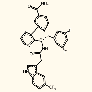 NC(=O)c1cccc(-c2cccnc2[C@H](Cc2cc(F)cc(F)c2)NC(=O)Cc2c[nH]c3ccc(C(F)(F)F)cc23)c1